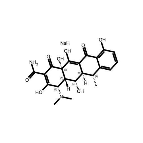 C[C@H]1c2cccc(O)c2C(=O)C2=C(O)[C@]3(O)C(=O)C(C(N)=O)=C(O)[C@@H](N(C)C)[C@H]3[C@@H](O)[C@@H]21.[NaH]